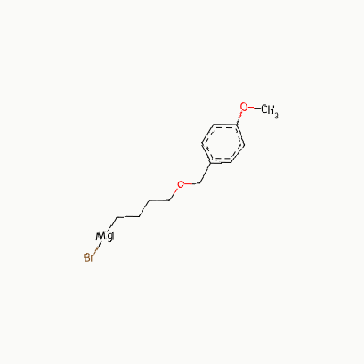 COc1ccc(COCCC[CH2][Mg][Br])cc1